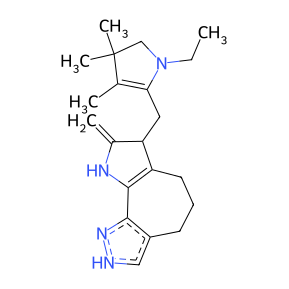 C=C1NC2=C(CCCc3c[nH]nc32)C1CC1=C(C)C(C)(C)CN1CC